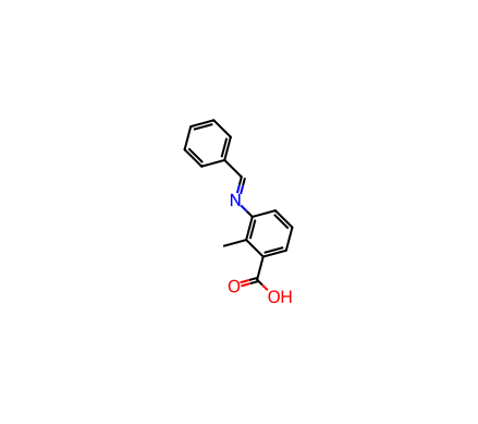 Cc1c(N=Cc2ccccc2)cccc1C(=O)O